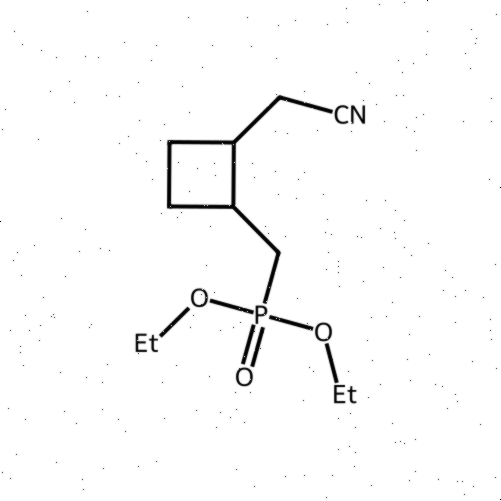 CCOP(=O)(CC1CCC1CC#N)OCC